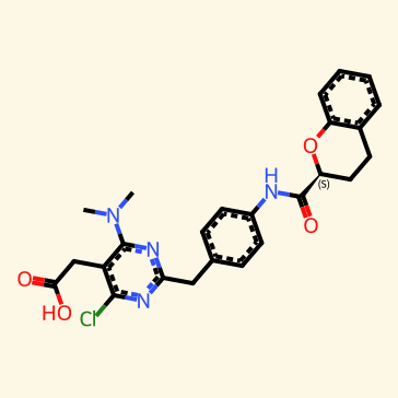 CN(C)c1nc(Cc2ccc(NC(=O)[C@@H]3CCc4ccccc4O3)cc2)nc(Cl)c1CC(=O)O